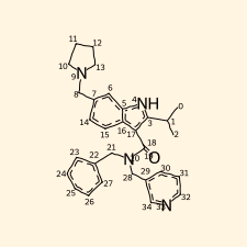 CC(C)c1[nH]c2cc(CN3CCCC3)ccc2c1C(=O)N(Cc1ccccc1)Cc1cccnc1